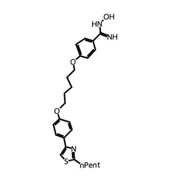 CCCCCc1nc(-c2ccc(OCCCCCOc3ccc(C(=N)NO)cc3)cc2)cs1